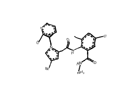 Cc1cc(Cl)cc(C(=O)NN)c1NC(=O)c1cc(Br)cn1-c1cccnc1Cl